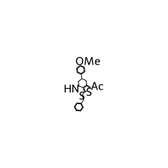 COc1ccc(C2CC(=N)c3c(SCc4ccccc4)sc(C(C)=O)c3C2)cc1